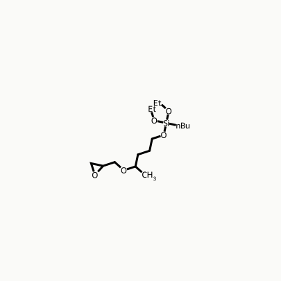 CCCC[Si](OCC)(OCC)OCCCC(C)OCC1CO1